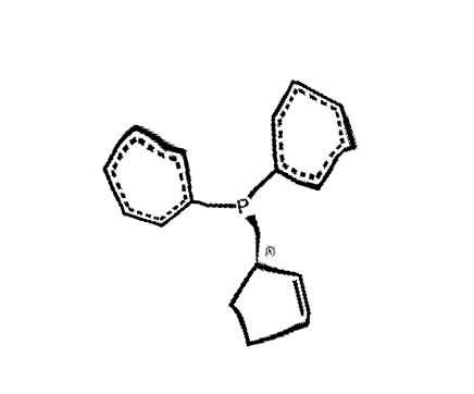 C1=C[C@H](P(c2ccccc2)c2ccccc2)CC1